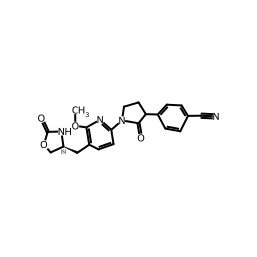 COc1nc(N2CCC(c3ccc(C#N)cc3)C2=O)ccc1C[C@H]1COC(=O)N1